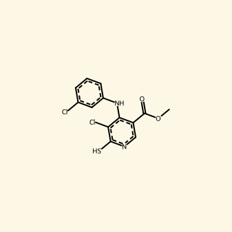 COC(=O)c1cnc(S)c(Cl)c1Nc1cccc(Cl)c1